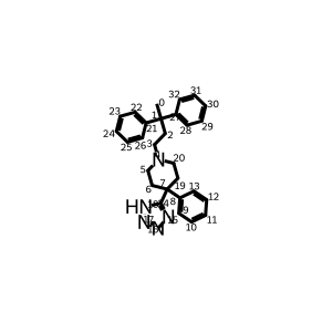 CC(CCN1CCC(c2ccccc2)(c2nnn[nH]2)CC1)(c1ccccc1)c1ccccc1